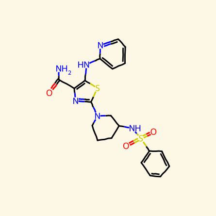 NC(=O)c1nc(N2CCCC(NS(=O)(=O)c3ccccc3)C2)sc1Nc1ccccn1